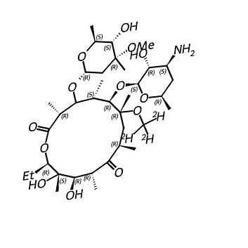 [2H]C([2H])([2H])O[C@]1(C)C[C@@H](C)C(=O)[C@H](C)[C@@H](O)[C@](C)(O)[C@@H](CC)OC(=O)[C@H](C)C(O[C@H]2C[C@@](C)(OC)[C@@H](O)[C@H](C)O2)[C@H](C)[C@H]1O[C@@H]1O[C@H](C)C[C@H](N)[C@H]1O